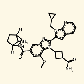 COc1cc(C(=O)N2C[C@H]3CC[C@@H]2[C@@H]3N)cc2nc(-c3cc4cccnc4n3CC3CC3)n(C3CC(C(N)=O)C3)c12